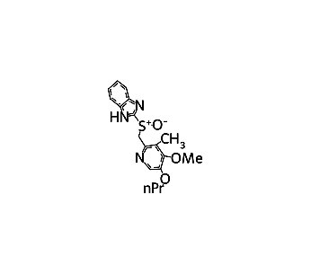 CCCOc1cnc(C[S+]([O-])c2nc3ccccc3[nH]2)c(C)c1OC